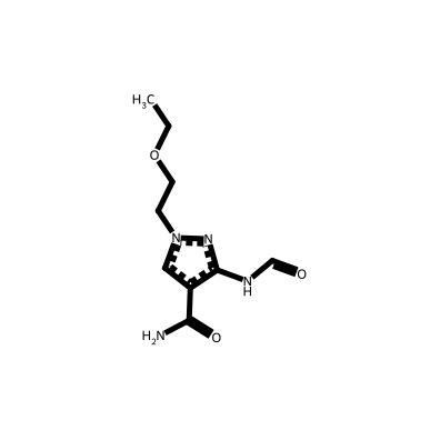 CCOCCn1cc(C(N)=O)c(NC=O)n1